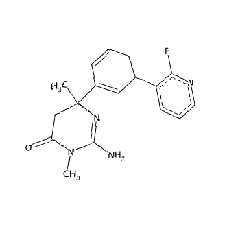 CN1C(=O)CC(C)(C2=CC(c3cccnc3F)CC=C2)N=C1N